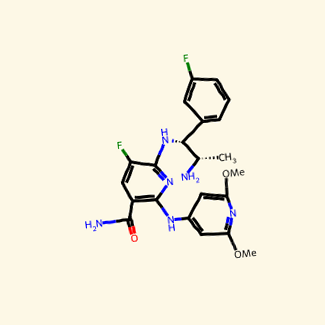 COc1cc(Nc2nc(N[C@H](c3cccc(F)c3)[C@H](C)N)c(F)cc2C(N)=O)cc(OC)n1